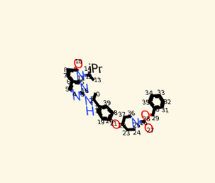 CC(Nc1ncc2ccc(=O)n(C(C)C(C)C)c2n1)c1ccc(OC2CCN(C(=O)OCc3ccccc3)CC2)cc1